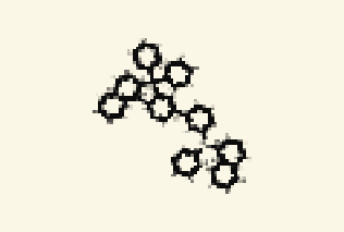 c1ccc(N(c2cccc(-c3ccc4c(c3)C(c3ccccc3)(c3ccccc3)c3ccc5ccccc5c3-4)c2)c2cccc3ccccc23)cc1